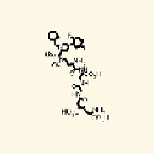 CC(=O)N(CC[C@H](N)C(=O)N[C@H](CNC(=O)CNC(=O)CC(SC[C@H](N)C(=O)O)C(=O)O)C(=O)O)[C@@H](c1cc(-c2cc(F)ccc2F)cn1Cc1ccccc1)C(C)(C)C